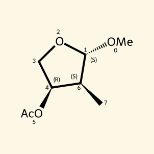 CO[C@H]1OC[C@H](OC(C)=O)[C@@H]1C